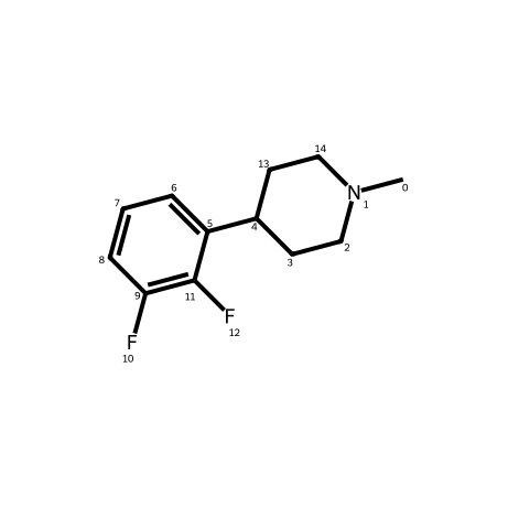 CN1CCC(c2cccc(F)c2F)CC1